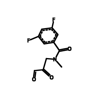 CN(CC(=O)C=O)C(=O)c1cc(F)cc(F)c1